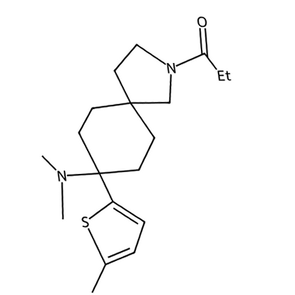 CCC(=O)N1CCC2(CCC(c3ccc(C)s3)(N(C)C)CC2)C1